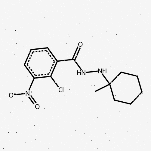 CC1(NNC(=O)c2cccc([N+](=O)[O-])c2Cl)CCCCC1